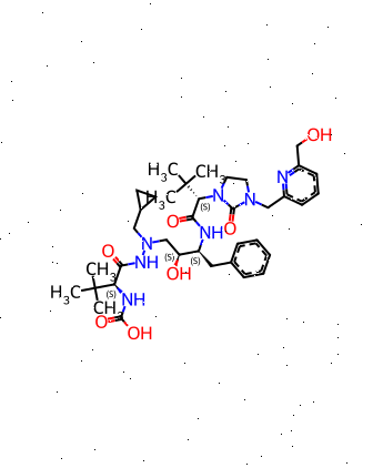 CC(C)(C)[C@H](NC(=O)O)C(=O)NN(CC1CC1)C[C@H](O)[C@H](Cc1ccccc1)NC(=O)[C@@H](N1CCN(Cc2cccc(CO)n2)C1=O)C(C)(C)C